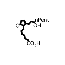 CCCCC[C@@H](O)CCC1=CCC(=O)[C@@H]1C/C=C\CCCC(=O)O